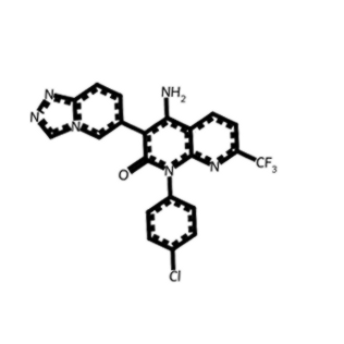 Nc1c(-c2ccc3nncn3c2)c(=O)n(-c2ccc(Cl)cc2)c2nc(C(F)(F)F)ccc12